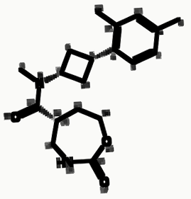 Cc1ccc([C@H]2C[C@@H](N(C)C(=O)[C@@H]3CCOC(=O)NC3)C2)c(C)c1